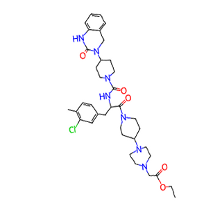 CCOC(=O)CN1CCN(C2CCN(C(=O)C(Cc3ccc(C)c(Cl)c3)NC(=O)N3CCC(N4Cc5ccccc5NC4=O)CC3)CC2)CC1